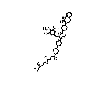 CN(C)CCOC(=O)CCC(=O)N1CCC(C2CCN(C(=O)[C@@H](Cc3cc(Cl)c(N)c(C(F)(F)F)c3)OC(=O)N3CCC(N4CCc5ccccc5NC4=O)CC3)CC2)CC1